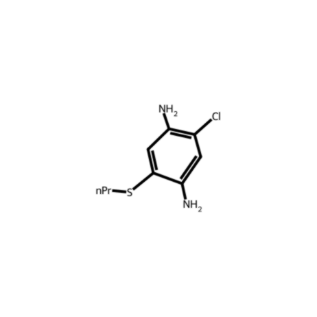 CCCSc1cc(N)c(Cl)cc1N